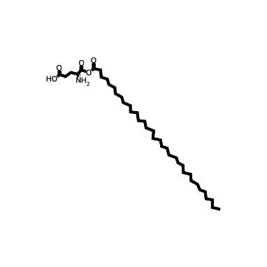 CCCCCCCCCCCCCCCCCCCCCCCCCCCCCCCCCC(=O)OC(=O)[C@@H](N)CCC(=O)O